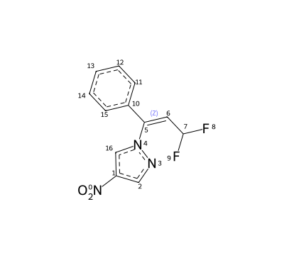 O=[N+]([O-])c1cnn(/C(=C\C(F)F)c2ccccc2)c1